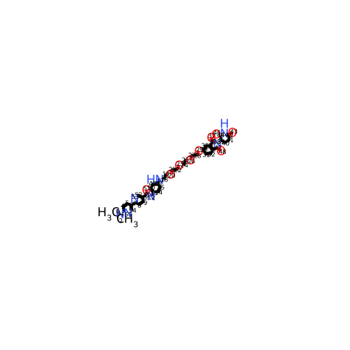 CN(C)c1ccc(-c2ccc(-c3nc4ccc(NCCOCCOCCOCCOc5ccc6c(c5)C(=O)N(C5CCC(=O)NC5=O)C6=O)cc4o3)cn2)cn1